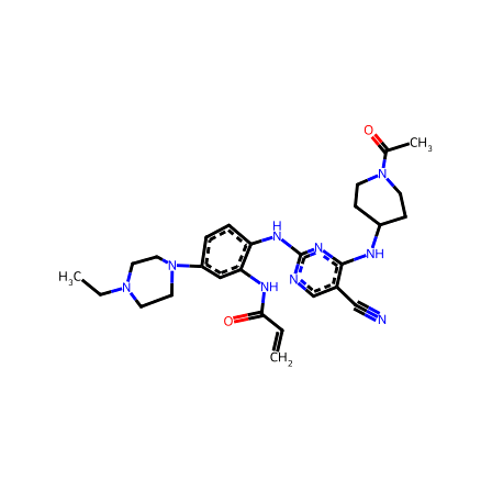 C=CC(=O)Nc1cc(N2CCN(CC)CC2)ccc1Nc1ncc(C#N)c(NC2CCN(C(C)=O)CC2)n1